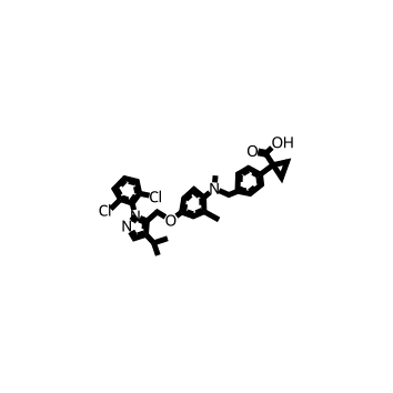 Cc1cc(OCc2c(C(C)C)cnn2-c2c(Cl)cccc2Cl)ccc1N(C)Cc1ccc(C2(C(=O)O)CC2)cc1